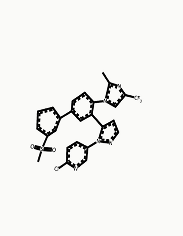 Cc1nc(C(F)(F)F)cn1-c1ccc(-c2cccc(S(C)(=O)=O)c2)cc1-c1ccnn1-c1ccc(Cl)nc1